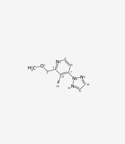 COCc1nccc(-n2nccn2)c1F